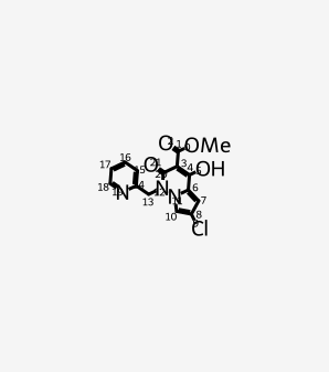 COC(=O)c1c(O)c2cc(Cl)cn2n(Cc2ccccn2)c1=O